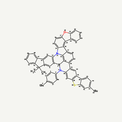 CC(C)(C)c1ccc(N2B3c4cc5c(cc4-n4c6ccc7oc8ccccc8c7c6c6ccc(c3c64)-c3cc4c(cc32)sc2cc(C(C)(C)C)ccc24)-c2ccccc2C5(C)C)cc1